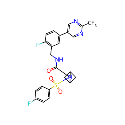 O=C(NCc1cc(-c2cnc(C(F)(F)F)nc2)ccc1F)C1C2CC(C2)N1S(=O)(=O)c1ccc(F)cc1